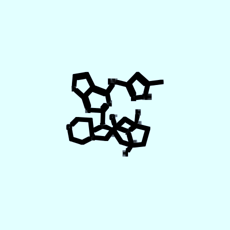 Cc1cc(Nc2nc(N(C)[C@@H]3C[C@H]4CC[C@@H](C3)N4[S+]([O-])CN3CCOCC3)nc3sccc23)n[nH]1